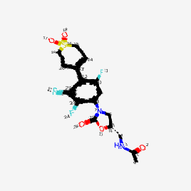 CC(=O)NC[C@H]1CN(c2cc(F)c(C3=CCS(=O)(=O)CC3)c(F)c2F)C(=O)O1